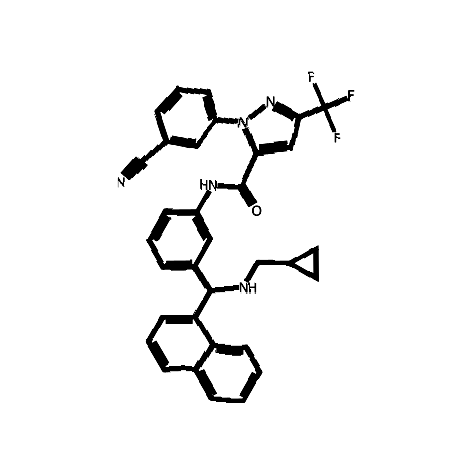 N#Cc1cccc(-n2nc(C(F)(F)F)cc2C(=O)Nc2cccc(C(NCC3CC3)c3cccc4ccccc34)c2)c1